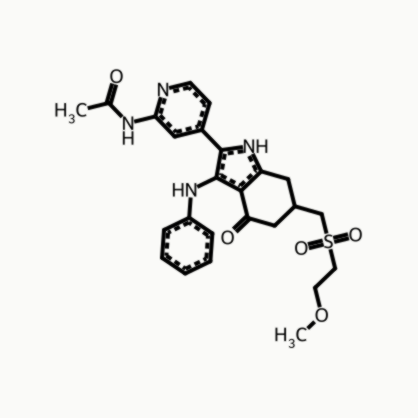 COCCS(=O)(=O)CC1CC(=O)c2c([nH]c(-c3ccnc(NC(C)=O)c3)c2Nc2ccccc2)C1